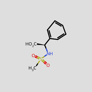 CS(=O)(=O)N[C@@H](C(=O)O)c1ccccc1